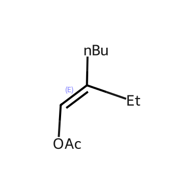 CCCC/C(=C/OC(C)=O)CC